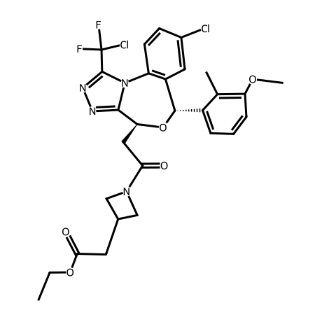 CCOC(=O)CC1CN(C(=O)C[C@@H]2O[C@@H](c3cccc(OC)c3C)c3cc(Cl)ccc3-n3c2nnc3C(F)(F)Cl)C1